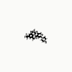 CNc1nc(N[C@H](C)c2cc(N)cc(C(F)(F)F)c2)c2cc(N3CCN(C)CC3)ncc2n1